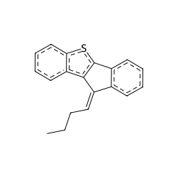 CCC/C=C1/c2ccccc2-c2sc3ccccc3c21